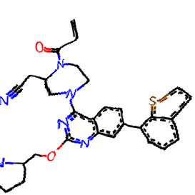 C=CC(=O)N1CCN(c2nc(OCC3CCCN3C)nc3cc(-c4cccc5ccsc45)ccc23)CC1CC#N